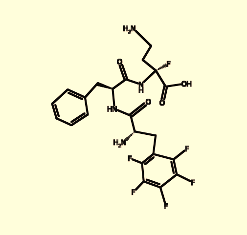 NCC[C@](F)(NC(=O)[C@H](Cc1ccccc1)NC(=O)[C@@H](N)Cc1c(F)c(F)c(F)c(F)c1F)C(=O)O